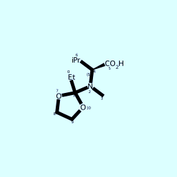 CCC1(N(C)[C@H](C(=O)O)C(C)C)OCCO1